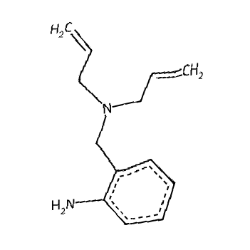 C=CCN(CC=C)Cc1ccccc1N